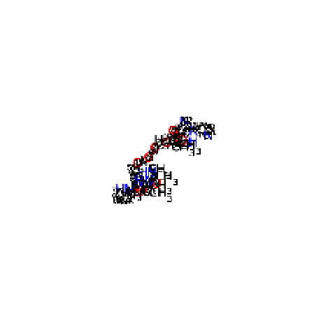 CN[C@@H](C)C(=O)N[C@H](C(=O)N1Cc2cc(OCCOCCOCCOCCOc3cc4nccc(Nc5ccc6scnc6c5)c4cc3S(=O)(=O)C(C)(C)C)ccc2C[C@H]1C(=O)NC1CCCc2ccccc21)C(C)(C)C